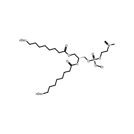 C=[N+](C)CCOP(=O)(OCC)OC[C@@H](COC(=O)CCCCCCCCCCCCCCCCC)OC(=O)CCCCCCCCCCCCCCCCC